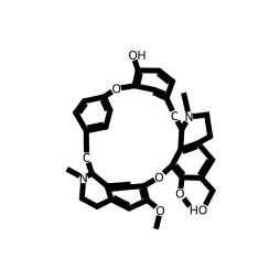 COc1cc2c3cc1Oc1c(OC)c(CO)cc4c1C(Cc1ccc(O)c(c1)Oc1ccc(cc1)CC3N(C)CC2)N(C)CC4